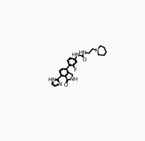 O=C(NCCN1CCCCC1)Nc1ccc(-c2ccc(-c3ncc[nH]3)c3c2CNC3=O)c(F)c1